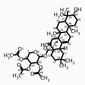 CC(=O)OC1COC(OC(=O)[C@]23CCC(C)(C)C[C@H]2C2=CCC4[C@@]5(C)CC[C@H](O)C(C)(C)C5CC[C@@]4(C)[C@]2(C)CC3O)C(OC(C)=O)C1OC(C)=O